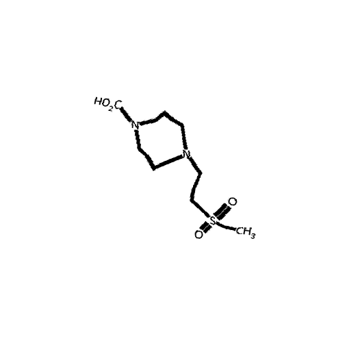 CS(=O)(=O)CCN1CCN(C(=O)O)CC1